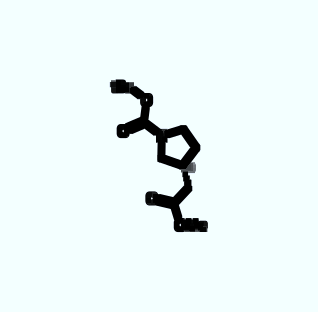 COC(=O)C[C@H]1CCN(C(=O)OC(C)(C)C)C1